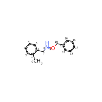 Cc1ccccc1CNOCc1ccccc1